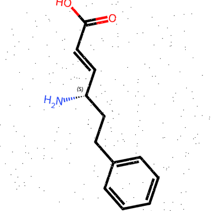 N[C@H](C=CC(=O)O)CCc1ccccc1